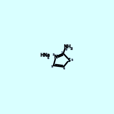 Nc1nccs1.[NaH]